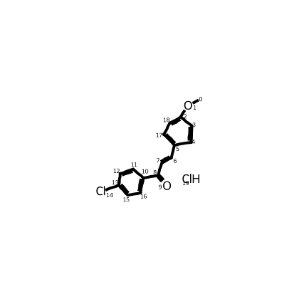 COc1ccc(C=CC(=O)c2ccc(Cl)cc2)cc1.Cl